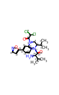 CC(C)C(CN(C(=O)C(Cl)Cl)c1cccc(-c2ccno2)c1)NC(=O)C(N)C(C)C